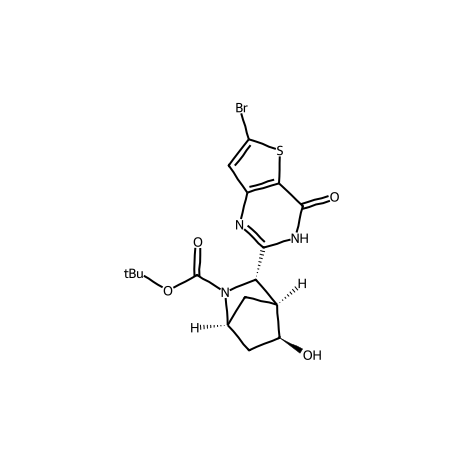 CC(C)(C)OC(=O)N1[C@H]2C[C@@H]([C@H]1c1nc3cc(Br)sc3c(=O)[nH]1)[C@@H](O)C2